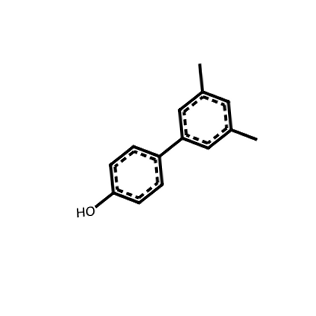 Cc1cc(C)cc(-c2ccc(O)cc2)c1